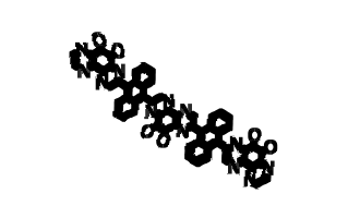 O=C1C(=O)c2nc(-c3c4ccccc4c(-c4cnc5c(n4)C(=O)C(=O)c4nc(-c6c7ccccc7c(-c7cnc8c(n7)C(=O)C(=O)c7nccnc7-8)c7ccccc67)cnc4-5)c4ccccc34)cnc2-c2nccnc21